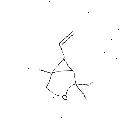 C=CC1C2C(C)(C)OCC12C